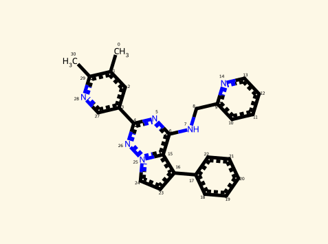 Cc1cc(-c2nc(NCc3ccccn3)c3c(-c4ccccc4)ccn3n2)cnc1C